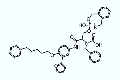 O=C(Nc1ccc(OCCCCCc2ccccc2)c(-c2ccco2)c1)C(CO[PH]1(O)OCc2ccccc2CO1)N(Cc1ccccc1)C(=O)O